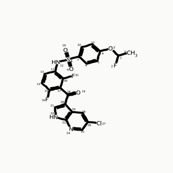 CC(F)Oc1ccc(S(=O)(=O)Nc2ccc(F)c(C(=O)c3c[nH]c4ncc(Cl)cc34)c2F)cc1